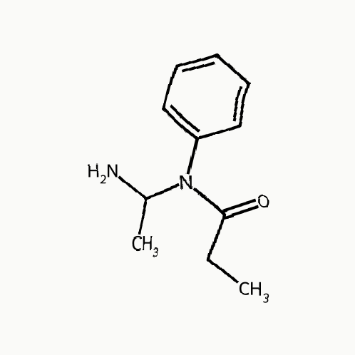 CCC(=O)N(c1ccccc1)C(C)N